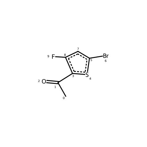 CC(=O)c1sc(Br)cc1F